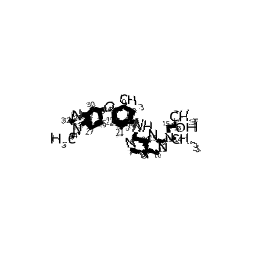 Cc1cc(Nc2ncnc3cnc(N(C)CC(C)O)nc23)ccc1Oc1ccc2c(c1)ncn2C